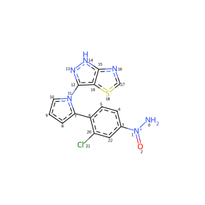 N[N+](=O)c1ccc(-c2cccn2-c2n[nH]c3n[c]sc23)c(Cl)c1